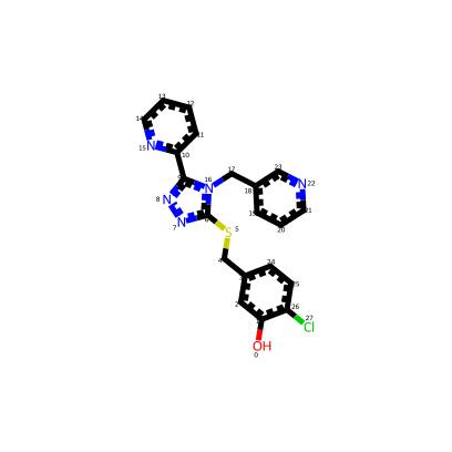 Oc1cc(CSc2nnc(-c3ccccn3)n2Cc2cccnc2)ccc1Cl